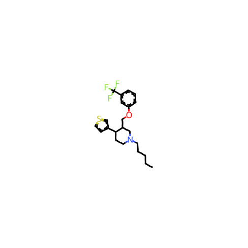 CCCCCN1CCC(c2ccsc2)C(COc2cccc(C(F)(F)F)c2)C1